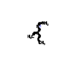 C=CN(CCC)C/N=C\N